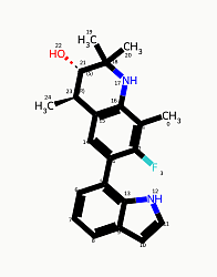 Cc1c(F)c(-c2cccc3cc[nH]c23)cc2c1NC(C)(C)[C@@H](O)[C@@H]2C